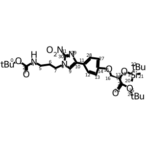 CC(C)(C)OC(=O)NCCCn1cc(-c2ccc(OC[C@@H](O[Si](C)(C)C(C)(C)C)C(=O)OC(C)(C)C)cc2)nc1[N+](=O)[O-]